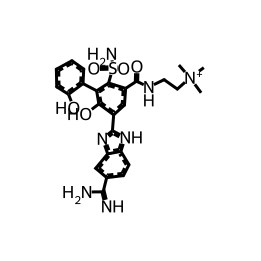 C[N+](C)(C)CCNC(=O)c1cc(-c2nc3cc(C(=N)N)ccc3[nH]2)c(O)c(-c2ccccc2O)c1S(N)(=O)=O